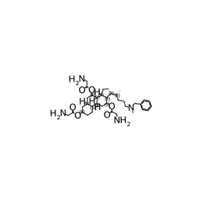 C[C@H](CCCN(C)Cc1ccccc1)[C@H]1CC[C@H]2[C@@H]3[C@H](OC(=O)CN)C[C@@H]4C[C@H](OC(=O)CN)CC[C@]4(C)[C@H]3C[C@H](OC(=O)CN)[C@]12C